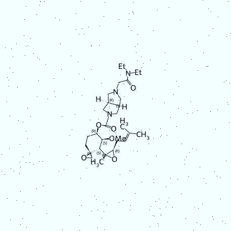 CCN(CC)C(=O)CN1C[C@@H]2CN(C(=O)O[C@@H]3CC[C@]4(CO4)[C@@H]([C@@]4(C)O[C@@H]4CC=C(C)C)[C@@H]3OC)C[C@@H]2C1